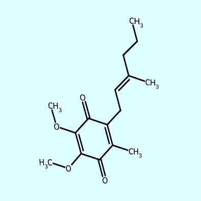 CCC/C(C)=C/CC1=C(C)C(=O)C(OC)=C(OC)C1=O